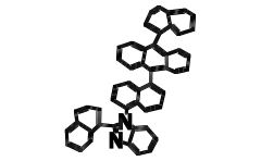 c1ccc2c(-c3c4ccccc4c(-c4cccc5c(-n6c(-c7cccc8ccccc78)nc7ccccc76)cccc45)c4ccccc34)cccc2c1